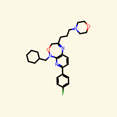 Fc1ccc(-c2ccc3c(n2)N(CC2CCCCC2)OCC(CCCN2CCOCC2)=N3)cc1